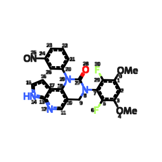 COc1cc(OC)c(F)c(N2Cc3cnc4[nH]ccc4c3N(c3cccc(N=O)c3)C2=O)c1F